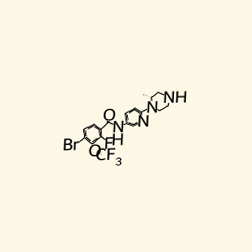 C[C@@H]1CNCCN1c1ccc(NC(=O)c2ccc(Br)c(OC(F)(F)F)c2F)cn1